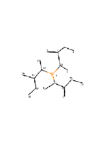 CCC(C)C(C)P(C(C)C(C)CC)C(C)C(C)CC